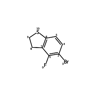 Fc1c(Br)ccc2c1CCS2